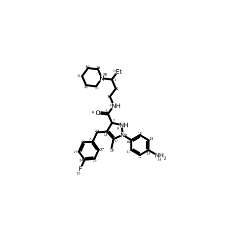 CCC(CCNC(=O)C1NN(c2ccc(N)cc2)C(C)=C1Cc1ccc(F)cc1)N1CCCCC1